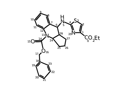 CCOC(=O)c1csc(NC2c3ccccc3N(C(=O)OCc3ccccc3)C3CCCC23)n1